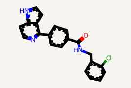 O=C(NCc1ccccc1Cl)c1ccc(-c2nccc3[nH]ccc23)cc1